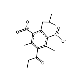 CCC(=O)c1c(C)c([N+](=O)[O-])c(CC(C)C)c([N+](=O)[O-])c1C